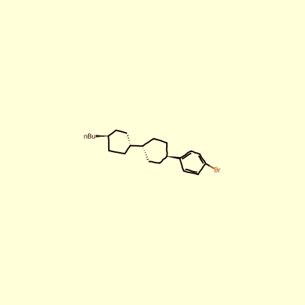 CCCC[C@H]1CC[C@H]([C@H]2CC[C@H](c3ccc(Br)cc3)CC2)CC1